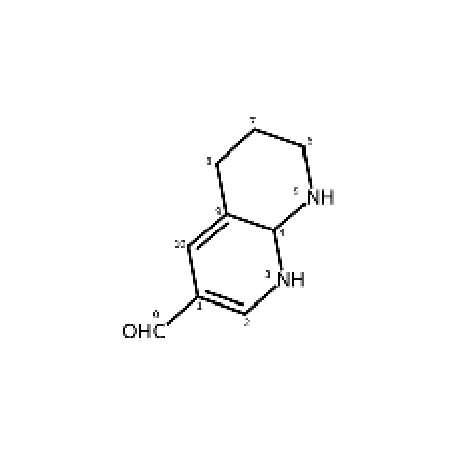 O=CC1=CNC2NCCCC2=C1